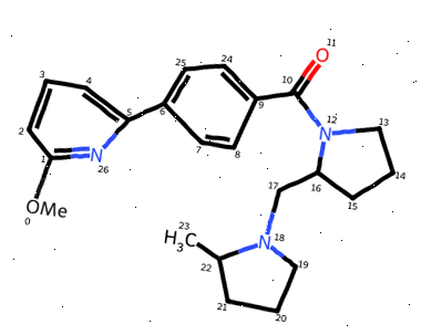 COc1cccc(-c2ccc(C(=O)N3CCCC3CN3CCCC3C)cc2)n1